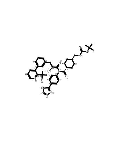 CC(C)(C)OC(=O)NC[C@H]1CC[C@H](C(=O)N(C(=O)[C@@H](N)Cc2cccc(-c3cccnc3C(F)(F)F)c2)c2ccc(-c3nnn[nH]3)cc2)CC1